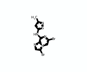 Cc1cc(Nc2nc(Br)cn3c(Br)cnc23)sn1